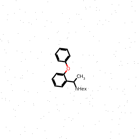 CCCCCCC(C)c1ccccc1Oc1ccccc1